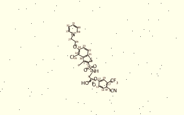 Cc1c(S(=O)(=O)NCP(=O)(O)Oc2ccc(C#N)c(C(F)(F)F)c2)sc2ccc(OCC[n+]3ccccc3)c(Cl)c12